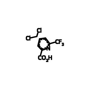 ClCCl.O=C(O)c1cccc(C(F)(F)F)n1